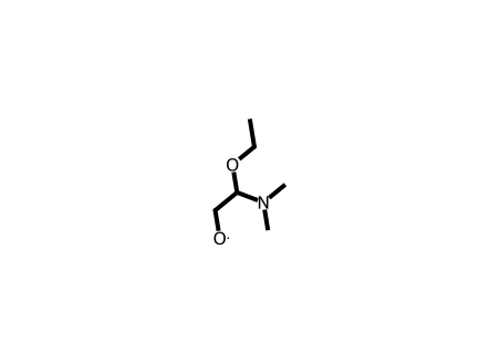 CCOC(C[O])N(C)C